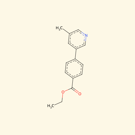 CCOC(=O)c1ccc(-c2cncc(C)c2)cc1